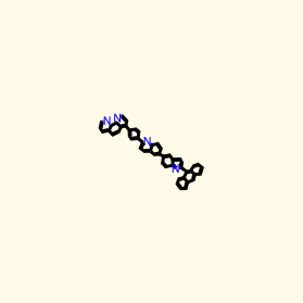 c1ccc2c(-c3ccc4cc(-c5ccc6nc(-c7ccc(-c8ccnc9c8ccc8cccnc89)cc7)ccc6c5)ccc4n3)c3ccccc3cc2c1